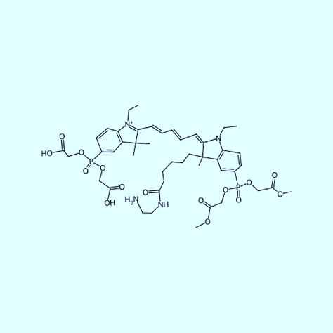 CCN1/C(=C/C=C/C=C/C2=[N+](CC)c3ccc(P(=O)(OCC(=O)O)OCC(=O)O)cc3C2(C)C)C(C)(CCCCCC(=O)NCCN)c2cc(P(=O)(OCC(=O)OC)OCC(=O)OC)ccc21